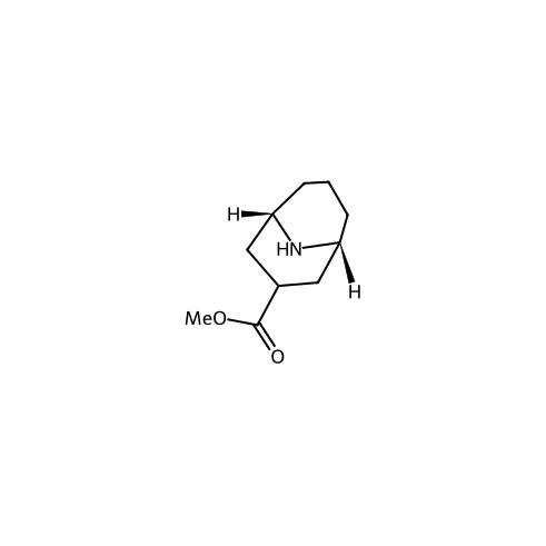 COC(=O)C1C[C@H]2CCC[C@@H](C1)N2